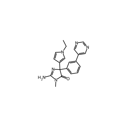 CCn1ccc(C2(c3cccc(-c4cncnc4)c3)N=C(N)N(C)C2=O)c1